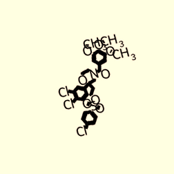 COc1cc(C(=O)N2CCOC(CCOS(=O)(=O)c3ccc(Cl)cc3)(c3ccc(Cl)c(Cl)c3)C2)cc(OC)c1OC